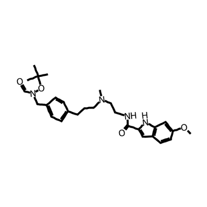 COc1ccc2cc(C(=O)NCCN(C)CCCc3ccc(CN(C=O)OC(C)(C)C)cc3)[nH]c2c1